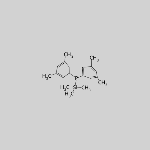 Cc1cc(C)cc(P(c2cc(C)cc(C)c2)[Si](C)(C)C)c1